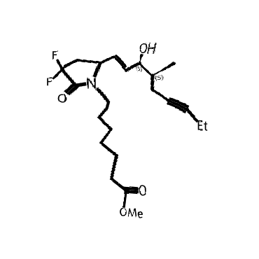 CCC#CC[C@H](C)[C@H](O)C=CC1CC(F)(F)C(=O)N1CCCCCCC(=O)OC